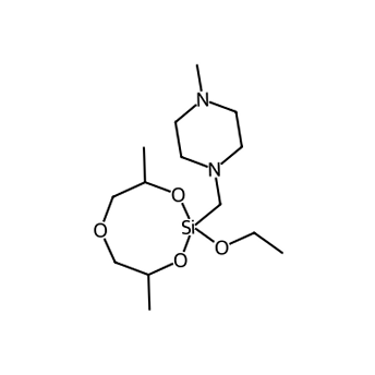 CCO[Si]1(CN2CCN(C)CC2)OC(C)COCC(C)O1